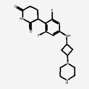 O=C1CCC(c2c(F)cc(NC3CC(N4CCNCC4)C3)cc2F)C(=O)N1